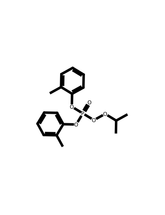 Cc1ccccc1OP(=O)(OOC(C)C)Oc1ccccc1C